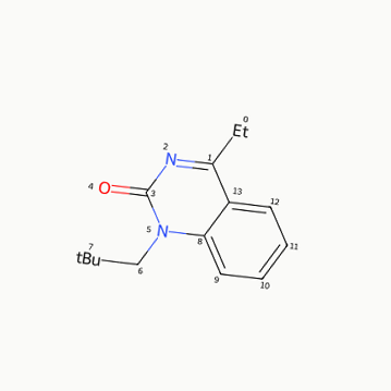 CCc1nc(=O)n(CC(C)(C)C)c2ccccc12